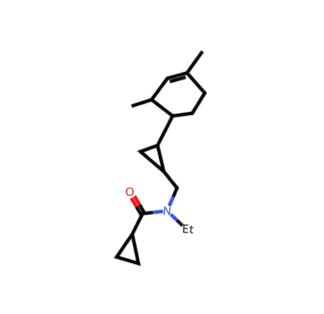 CCN(CC1CC1C1CCC(C)=CC1C)C(=O)C1CC1